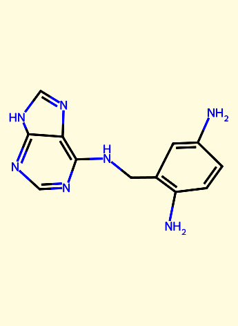 Nc1ccc(N)c(CNc2ncnc3[nH]cnc23)c1